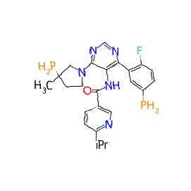 CC(C)c1ccc(C(=O)Nc2c(-c3cc(P)ccc3F)ncnc2N2CCC(C)(P)C2)cn1